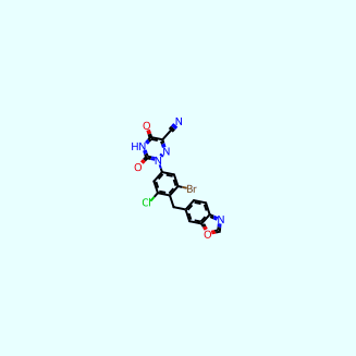 N#Cc1nn(-c2cc(Cl)c(Cc3ccc4ncoc4c3)c(Br)c2)c(=O)[nH]c1=O